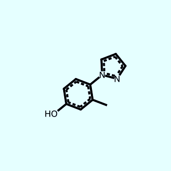 Cc1cc(O)ccc1-n1cccn1